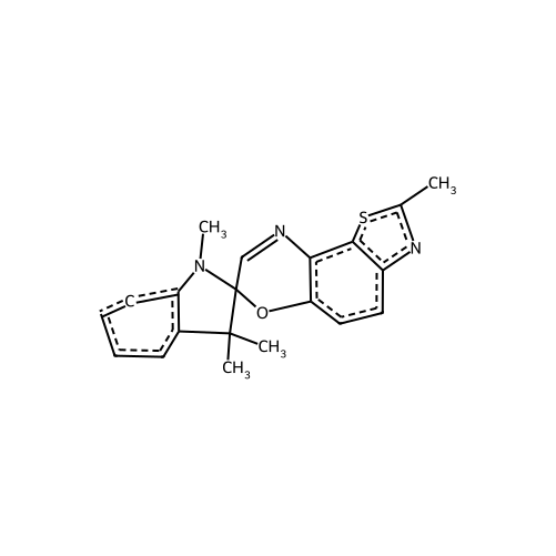 Cc1nc2ccc3c(c2s1)N=CC1(O3)N(C)c2ccccc2C1(C)C